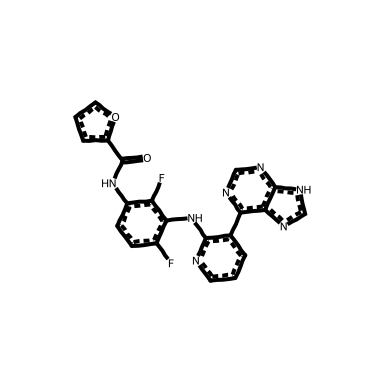 O=C(Nc1ccc(F)c(Nc2ncccc2-c2ncnc3[nH]cnc23)c1F)c1ccco1